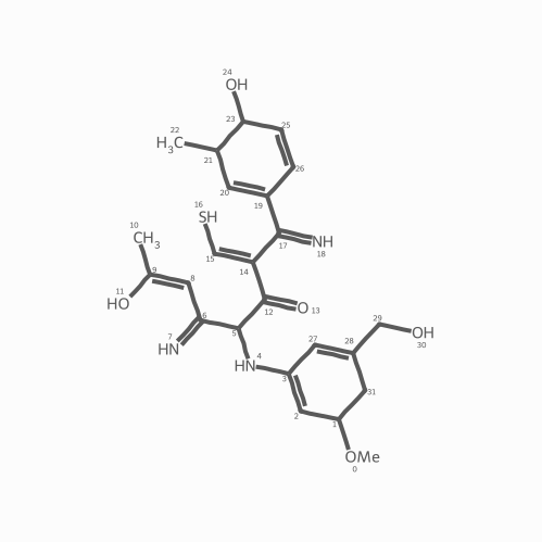 COC1C=C(NC(C(=N)/C=C(/C)O)C(=O)/C(=C/S)C(=N)C2=CC(C)C(O)C=C2)C=C(CO)C1